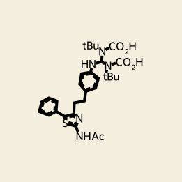 CC(=O)Nc1nc(CCc2ccc(NC(N(C(=O)O)C(C)(C)C)N(C(=O)O)C(C)(C)C)cc2)c(-c2ccccc2)s1